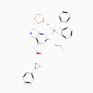 CCCSc1nc(NC(=O)O[C@@H]2C[C@H]2c2ccc(F)c(F)c2)c2nnn([C@@H]3C[C@H](CO)O[C@H]3CO[Si](c3ccccc3)(c3ccccc3)C(C)(C)C)c2n1